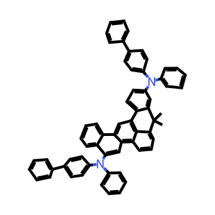 CC1(C)c2cc(N(c3ccccc3)c3ccc(-c4ccccc4)cc3)ccc2-c2cc3c4ccccc4c(N(c4ccccc4)c4ccc(-c5ccccc5)cc4)cc3c3cccc1c23